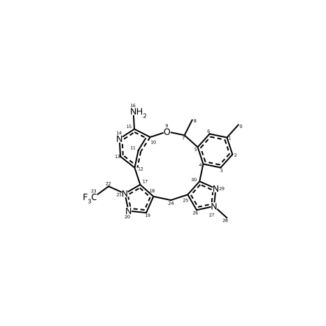 Cc1ccc2c(c1)C(C)Oc1cc(cnc1N)-c1c(cnn1CC(F)(F)F)Cc1cn(C)nc1-2